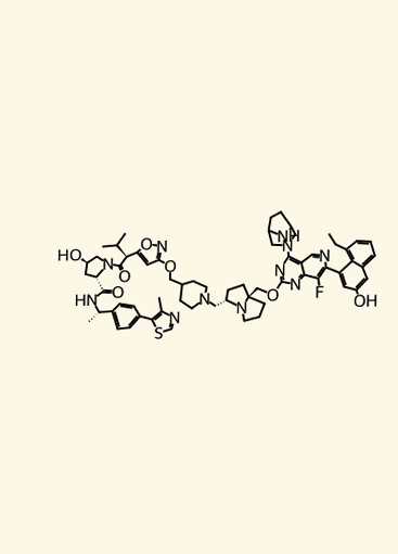 CCc1cccc2cc(O)cc(-c3ncc4c(N5CC6CCC(C5)N6)nc(OC[C@@]56CCCN5[C@H](CN5CCC(COc7cc([C@@H](C(=O)N8C[C@H](O)C[C@H]8C(=O)N[C@@H](C)c8ccc(-c9scnc9C)cc8)C(C)C)on7)CC5)CC6)nc4c3F)c12